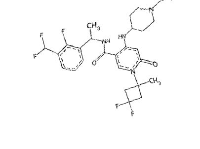 CC(NC(=O)c1cn(C2(C)CC(F)(F)C2)c(=O)cc1NC1CCN(C)CC1)c1cccc(C(F)F)c1F